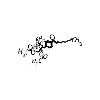 CCCCCCCCCC(=O)c1ccc(CCC(CCOC(C)=O)(COC(C)=O)NC(=O)OC)cc1